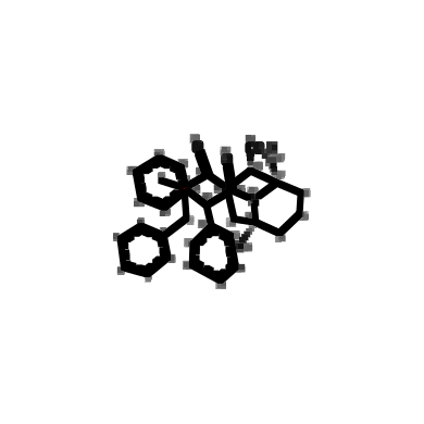 CN(Cc1ccccc1)C(=O)N1C[C@@H]2CCC[C@H]([C@H]1C(=O)O)N2C(=O)C(c1ccccc1)c1ccccc1